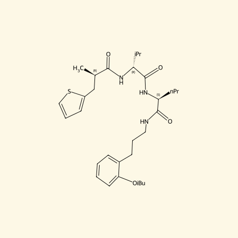 CCC[C@H](NC(=O)[C@H](NC(=O)[C@H](C)Cc1cccs1)C(C)C)C(=O)NCCCc1ccccc1OCC(C)C